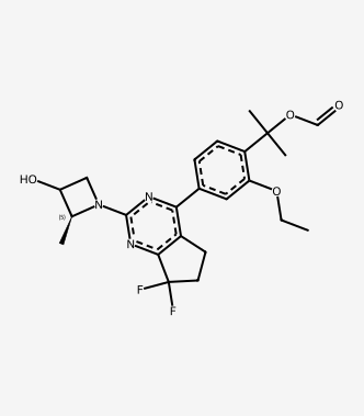 CCOc1cc(-c2nc(N3CC(O)[C@@H]3C)nc3c2CCC3(F)F)ccc1C(C)(C)OC=O